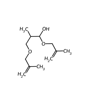 C=C(C)COCC(C)C(O)OCC(=C)C